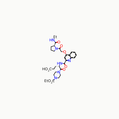 CCNC(=O)[C@@H]1CCCN1C(=O)COc1cc(C(=O)N[C@@H](CCC(=O)O)C(=O)N2CCN(C(=O)OCC)CC2)nc2ccccc12